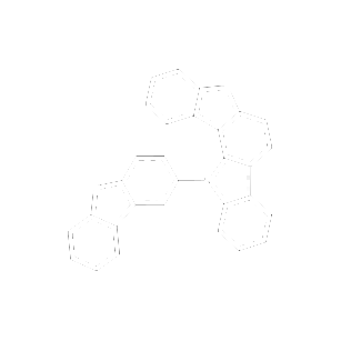 c1ccc2c(c1)oc1ccc(-n3c4ccccc4c4ccc5oc6ccccc6c5c43)cc12